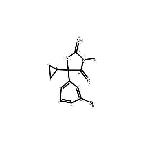 CN1C(=N)NC(c2cccc(Br)c2)(C2CC2)C1=O